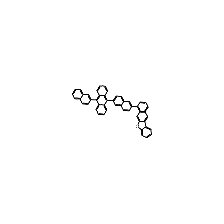 c1ccc2cc(-c3c4ccccc4c(-c4ccc5cc(-c6cccc7cc8c(cc67)oc6ccccc68)ccc5c4)c4ccccc34)ccc2c1